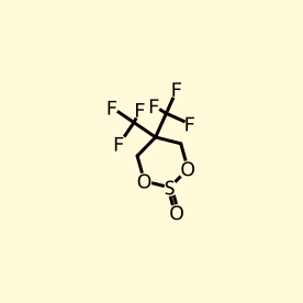 O=S1OCC(C(F)(F)F)(C(F)(F)F)CO1